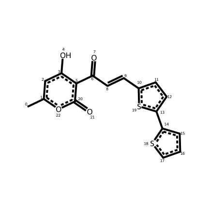 Cc1cc(O)c(C(=O)/C=C/c2ccc(-c3cccs3)s2)c(=O)o1